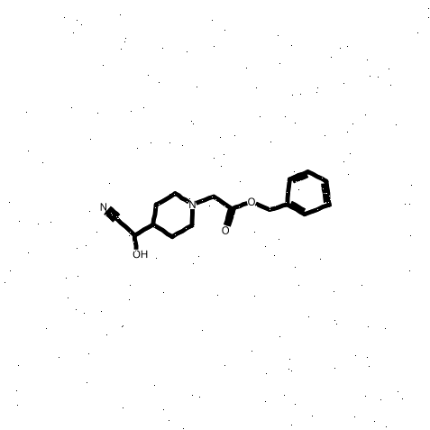 N#CC(O)C1CCN(CC(=O)OCc2ccccc2)CC1